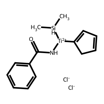 C[SiH](C)[Ti+2]([NH]C(=O)c1ccccc1)[C]1=CC=CC1.[Cl-].[Cl-]